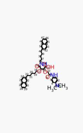 CN(C)c1ccc(NC(=O)COC(C(=O)O)C(OCCCCCc2ccc3ccccc3c2)C(=O)NCCCCCc2ccc3ccccc3c2)cc1